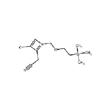 C[Si](C)(C)CCOC[N+]1=C(CC#N)C(Cl)=C1